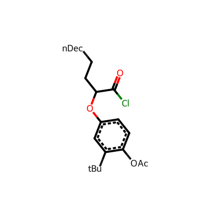 CCCCCCCCCCCCC(Oc1ccc(OC(C)=O)c(C(C)(C)C)c1)C(=O)Cl